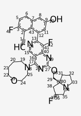 C#Cc1c(F)ccc2cc(O)cc(-c3ncc4c(N5CCCCOCC5)nc(OC[C@@]56CCCN5C[C@H](F)C6)nc4c3F)c12